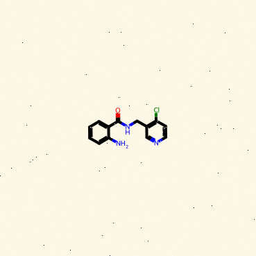 Nc1ccccc1C(=O)NCc1cnccc1Cl